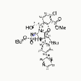 COC(=O)c1cc([C@@H](CO)N2C(=O)C(CC(C)(C)C)(c3ccc(-c4cnccn4)cc3)N/C2=N\C(=O)OC(C)(C)C)ccc1Cl